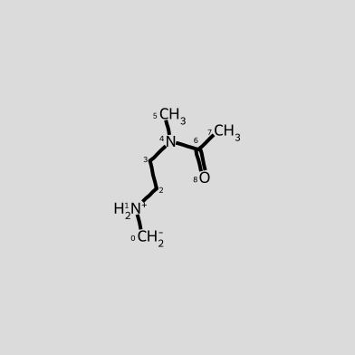 [CH2-][NH2+]CCN(C)C(C)=O